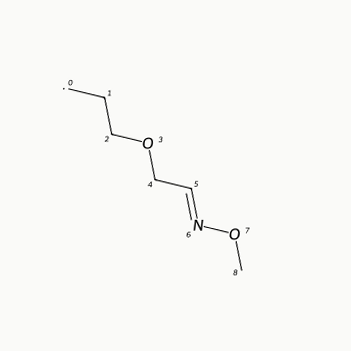 [CH2]CCOCC=NOC